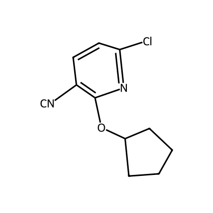 [C-]#[N+]c1ccc(Cl)nc1OC1CCCC1